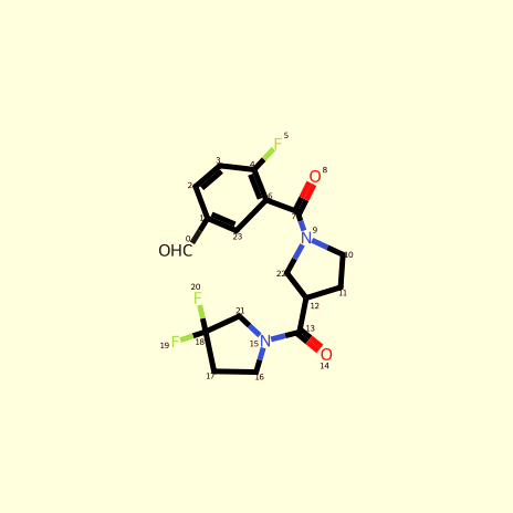 O=Cc1ccc(F)c(C(=O)N2CCC(C(=O)N3CCC(F)(F)C3)C2)c1